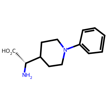 N[C@H](C(=O)O)C1CCN(c2ccccc2)CC1